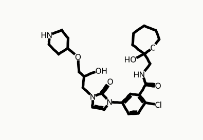 O=C(NCC1(O)CCCCCC1)c1cc(-n2ccn(CC(O)COC3CCNCC3)c2=O)ccc1Cl